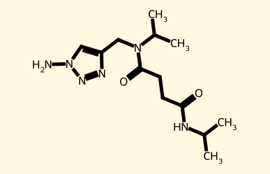 CC(C)NC(=O)CCC(=O)N(Cc1cn(N)nn1)C(C)C